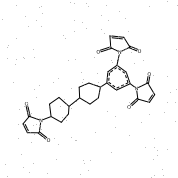 O=C1C=CC(=O)N1c1cc(C2CCC(C3CCC(N4C(=O)C=CC4=O)CC3)CC2)cc(N2C(=O)C=CC2=O)c1